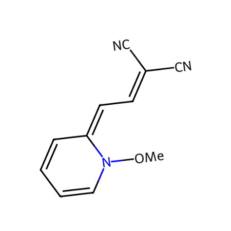 CON1C=CC=CC1=CC=C(C#N)C#N